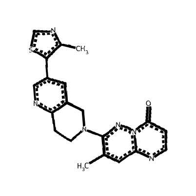 Cc1cc2nccc(=O)n2nc1N1CCc2ncc(-c3scnc3C)cc2C1